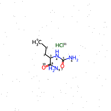 CCCC(NC(N)=O)C(N)=O.Cl